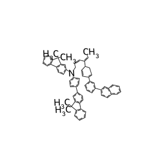 C/C=C(\C=C/CN(c1ccc(-c2ccc3c(c2)C(C)(C)c2ccccc2-3)cc1)c1ccc2c(c1)C(C)(C)c1ccccc1-2)C1C=CC(c2cccc(-c3ccc4ccccc4c3)c2)=CC1